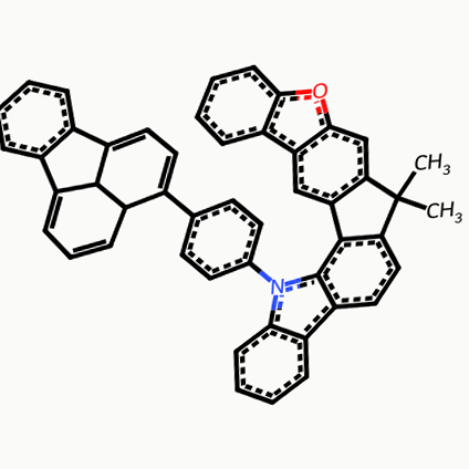 CC1(C)c2cc3oc4ccccc4c3cc2-c2c1ccc1c3ccccc3n(-c3ccc(C4=CC=C5c6ccccc6C6=CC=CC4C65)cc3)c21